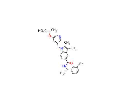 Cc1c(C)n(Cc2cncc(O[C@@H](C)C(=O)O)c2)c2ccc(C(=O)N[C@@H](C)c3cccc(C(C)C)c3)cc12